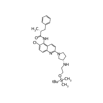 C[C@H](Cc1ccccc1)C(=O)Nc1c(Cl)ccc2nc(N3CC[C@H](NCCO[Si](C)(C)C(C)(C)C)C3)ccc12